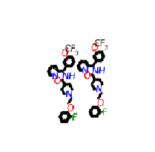 O=C(NC(c1cccc(OC(F)(F)F)c1)c1ccccn1)C1CCN(CCOc2ccccc2F)CC1.O=C(NC(c1cccc(OC(F)(F)F)c1)c1ccccn1)C1CCN(CCOc2ccccc2F)CC1